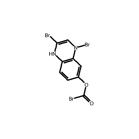 O=C(Br)Oc1ccc2c(c1)N(Br)C=C(Br)N2